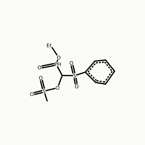 CCO[PH](=O)C(OS(C)(=O)=O)S(=O)(=O)c1ccccc1